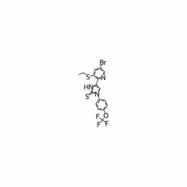 CCSc1cc(Br)cnc1-c1cn(-c2ccc(OC(F)(F)F)cc2)c(=S)[nH]1